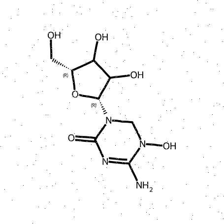 NC1=NC(=O)N([C@@H]2O[C@H](CO)C(O)C2O)CN1O